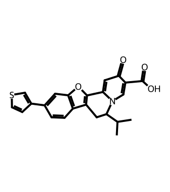 CC(C)C1Cc2c(oc3cc(-c4ccsc4)ccc23)-c2cc(=O)c(C(=O)O)cn21